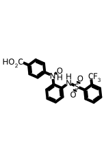 O=C(O)c1ccc(N(O)c2ccccc2NS(=O)(=O)c2ccccc2C(F)(F)F)cc1